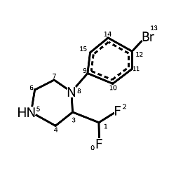 FC(F)C1CNCCN1c1ccc(Br)cc1